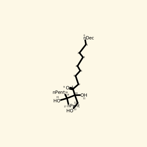 CCCCCCCCCCCCCCCCCC(=O)C(O)(CO)C(O)(CCCCC)CCCCC